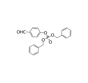 O=Cc1ccc(OP(=O)(OCc2ccccc2)OCc2ccccc2)cc1